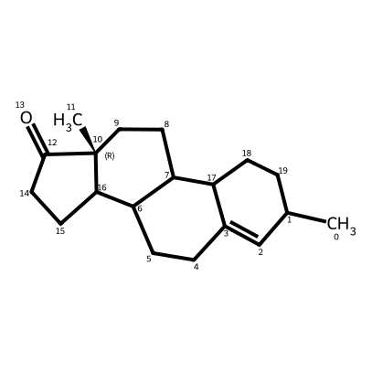 CC1C=C2CCC3C(CC[C@@]4(C)C(=O)CCC34)C2CC1